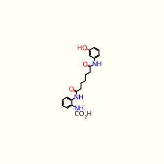 O=C(O)Nc1ccccc1NC(=O)CCCCCC(=O)Nc1cccc(O)c1